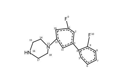 Fc1cc(-c2ccccc2F)cc(N2CCNCC2)c1